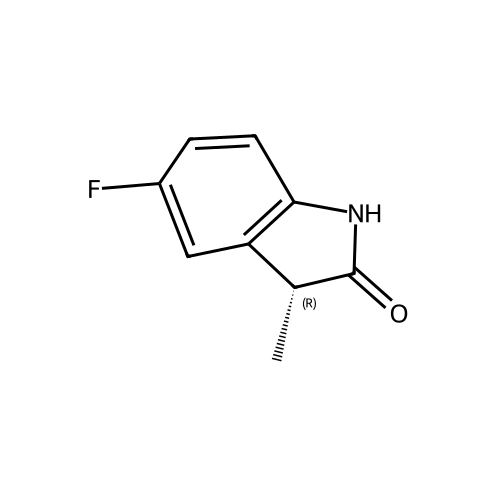 C[C@H]1C(=O)Nc2ccc(F)cc21